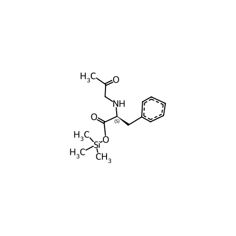 CC(=O)CN[C@@H](Cc1ccccc1)C(=O)O[Si](C)(C)C